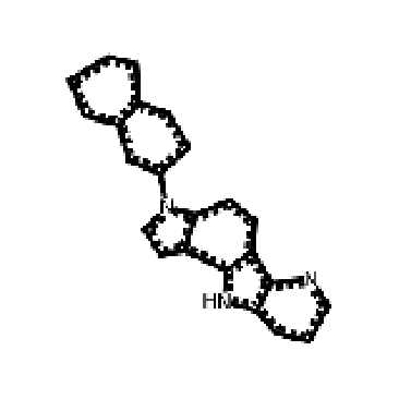 c1ccc2cc(-n3ccc4c5[nH]c6cccnc6c5ccc43)ccc2c1